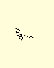 O=C(O)CCCCC[S+]([O-])c1cccc2c1C(=O)N(C1CCC(=O)NC1=O)C2=O